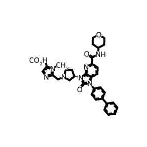 Cn1c(C(=O)O)cnc1CN1CC[C@H](n2c(=O)n(-c3ccc(-c4ccccc4)cc3)c3ccc(C(=O)NC4CCOCC4)nc32)C1